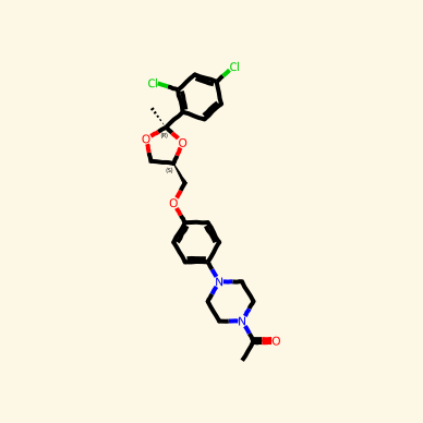 CC(=O)N1CCN(c2ccc(OC[C@H]3CO[C@@](C)(c4ccc(Cl)cc4Cl)O3)cc2)CC1